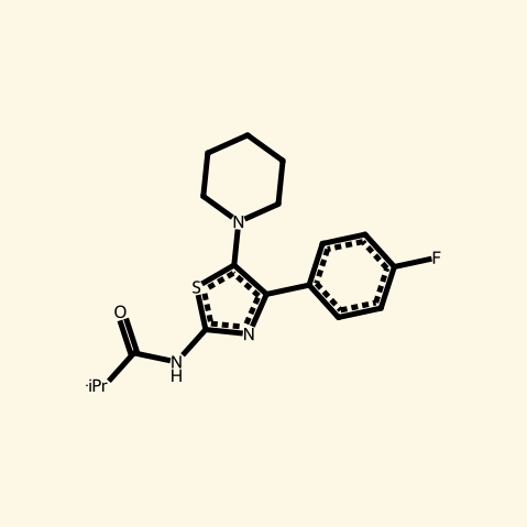 C[C](C)C(=O)Nc1nc(-c2ccc(F)cc2)c(N2CCCCC2)s1